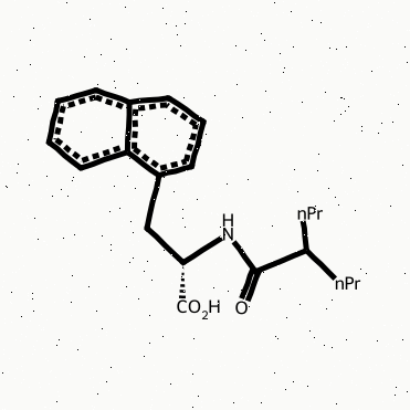 CCCC(CCC)C(=O)N[C@@H](Cc1cccc2ccccc12)C(=O)O